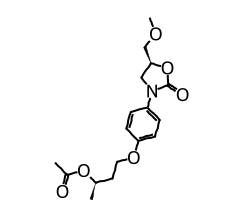 COC[C@@H]1CN(c2ccc(OCC[C@@H](C)OC(C)=O)cc2)C(=O)O1